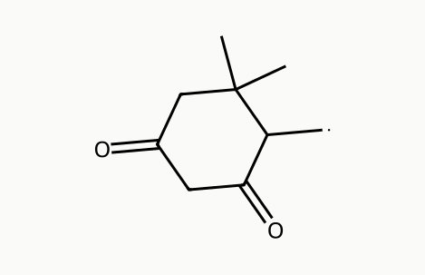 [CH2]C1C(=O)CC(=O)CC1(C)C